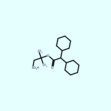 O=C(OC(CS(=O)(=O)O)(C(F)(F)F)C(F)(F)F)C(C1CCCCC1)C1CCCCC1